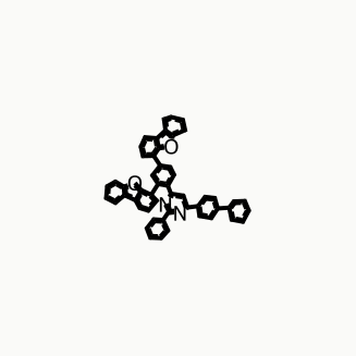 c1ccc(-c2ccc(-c3cc(-c4ccc(-c5cccc6c5oc5ccccc56)cc4-c4cccc5c4oc4ccccc45)nc(-c4ccccc4)n3)cc2)cc1